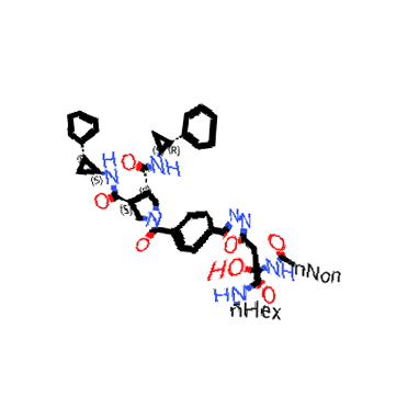 CCCCCCCCCC(=O)NC(O)(Cc1nnc(-c2ccc(C(=O)N3C[C@@H](C(=O)N[C@H]4C[C@@H]4c4ccccc4)[C@H](C(=O)N[C@H]4C[C@@H]4c4ccccc4)C3)cc2)o1)C(=O)NCCCCCC